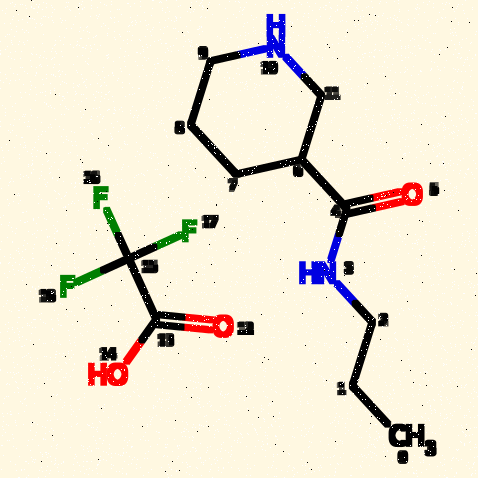 CCCNC(=O)C1CCCNC1.O=C(O)C(F)(F)F